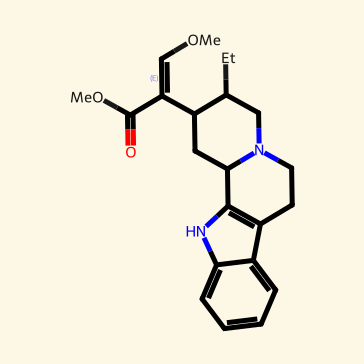 CCC1CN2CCc3c([nH]c4ccccc34)C2CC1/C(=C\OC)C(=O)OC